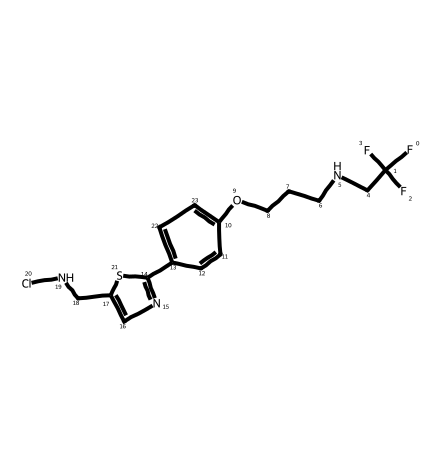 FC(F)(F)CNCCCOc1ccc(-c2ncc(CNCl)s2)cc1